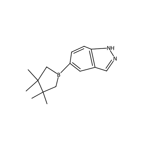 CC1(C)CB(c2ccc3[nH]ncc3c2)CC1(C)C